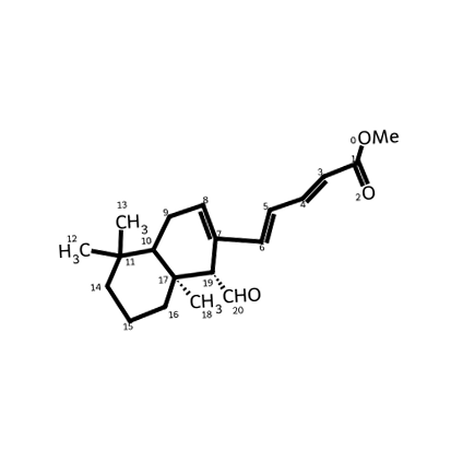 COC(=O)/C=C/C=C/C1=CCC2C(C)(C)CCC[C@]2(C)[C@H]1C=O